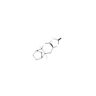 O=c1[nH]c2c(s1)C[C@@H]1C3CC[C@H](C3)[C@@H]1S2